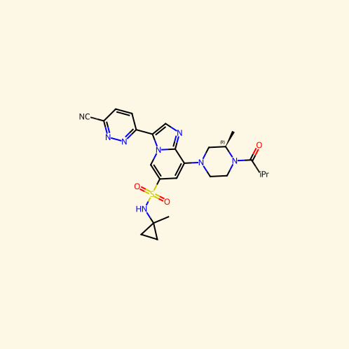 CC(C)C(=O)N1CCN(c2cc(S(=O)(=O)NC3(C)CC3)cn3c(-c4ccc(C#N)nn4)cnc23)C[C@H]1C